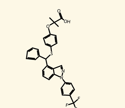 CC(C)(Oc1ccc(SC(c2ccccc2)c2cccc3c2cnn3-c2ccc(C(F)(F)F)cc2)cc1)C(=O)O